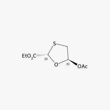 CCOC(=O)[C@H]1O[C@H](OC(C)=O)CS1